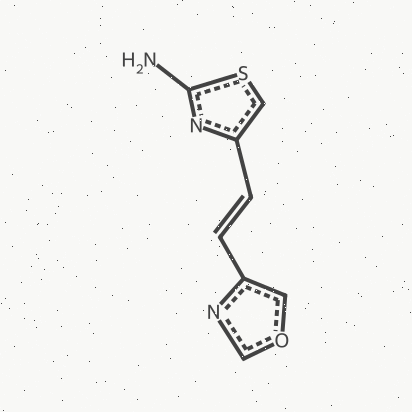 Nc1nc(/C=C/c2cocn2)cs1